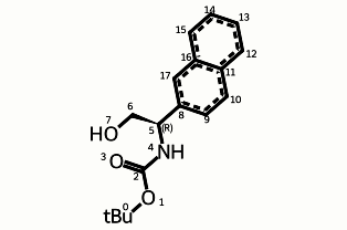 CC(C)(C)OC(=O)N[C@@H](CO)c1ccc2ccccc2c1